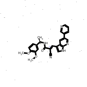 COc1ccc([C@@H](C)NC(=O)/C(C#N)=C/c2c[nH]c3ncc(-c4cccnc4)cc23)cc1OC